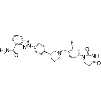 NC(=O)c1cccc2cn(-c3ccc([C@@H]4CCCN(Cc5ccc(N6CCC(=O)NC6=O)cc5F)C4)cc3)nc12